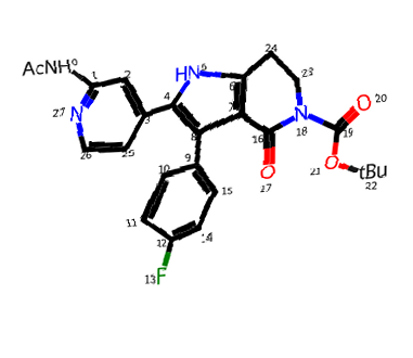 CC(=O)Nc1cc(-c2[nH]c3c(c2-c2ccc(F)cc2)C(=O)N(C(=O)OC(C)(C)C)CC3)ccn1